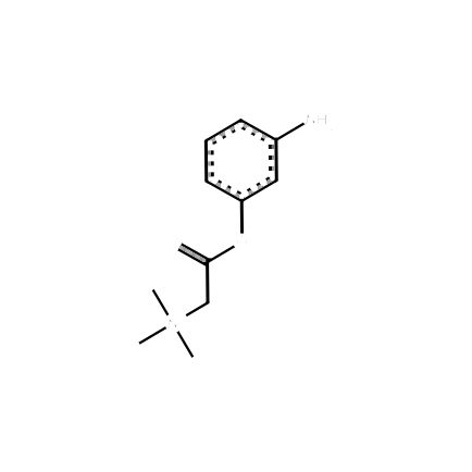 C[N+](C)(C)CC(=O)Oc1cccc(N)c1